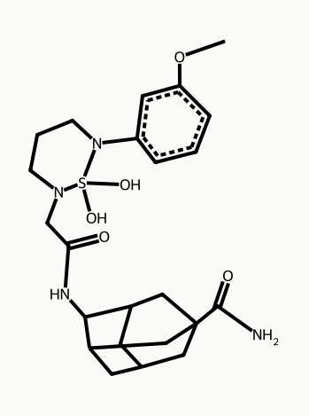 COc1cccc(N2CCCN(CC(=O)NC3C4CC5CC3CC(C(N)=O)(C5)C4)S2(O)O)c1